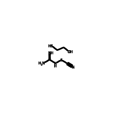 N#CSNC(=N)N.OCCS